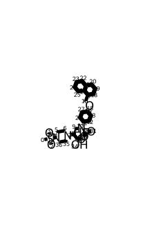 CS(=O)(=O)N1CCN([C@@H](CN(c2ccc(OCc3cccc4ccccc34)cc2)[SH](=O)=O)C(=O)O)CC1